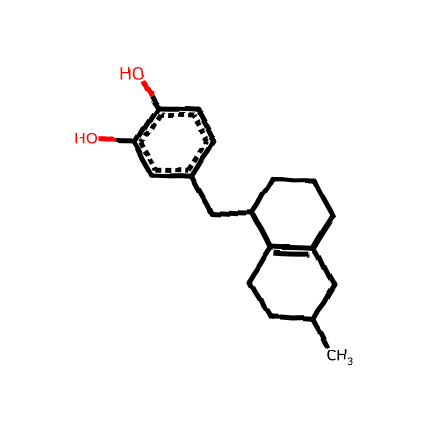 CC1CCC2=C(CCCC2Cc2ccc(O)c(O)c2)C1